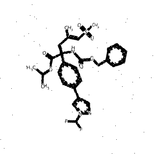 CC(=CS(C)(=O)=O)CC(NC(=O)OCc1ccccc1)(C(=O)OC(C)C)c1ccc(-c2cnn(C(F)F)c2)cc1